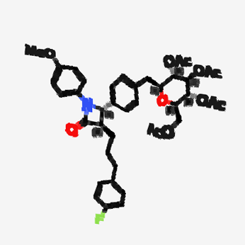 COc1ccc(N2C(=O)[C@H](CCCc3ccc(F)cc3)[C@H]2c2ccc(C[C@@H]3O[C@H](COC(C)=O)[C@@H](OC(C)=O)[C@H](OC(C)=O)[C@H]3OC(C)=O)cc2)cc1